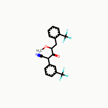 COC(Cc1ccccc1C(F)(F)F)C(=O)C(C#N)c1cccc(C(F)(F)F)c1